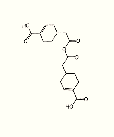 O=C(CC1CC=C(C(=O)O)CC1)OC(=O)CC1CC=C(C(=O)O)CC1